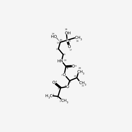 CC(C)C(=O)OC(OC(=O)NCC[C@H](O)P(C)(=O)O)C(C)C